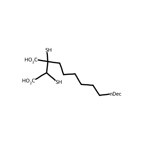 CCCCCCCCCCCCCCCCC(S)(C(=O)O)C(S)C(=O)O